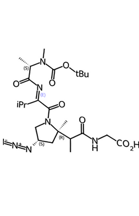 CC(C)/C(=N\C(=O)[C@H](C)N(C)C(=O)OC(C)(C)C)C(=O)N1C[C@@H](N=[N+]=[N-])C[C@]1(C)C(C)C(=O)NCC(=O)O